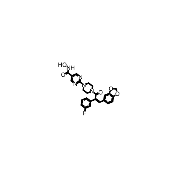 O=C(NO)c1cnc(N2CCN(C(=O)C(=Cc3ccc4c(c3)OCO4)c3cccc(F)c3)CC2)nc1